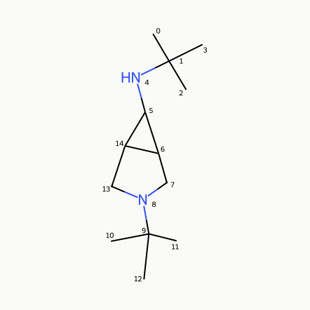 CC(C)(C)NC1C2CN(C(C)(C)C)CC21